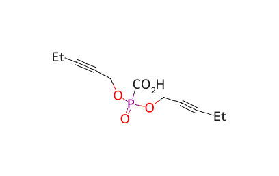 CCC#CCOP(=O)(OCC#CCC)C(=O)O